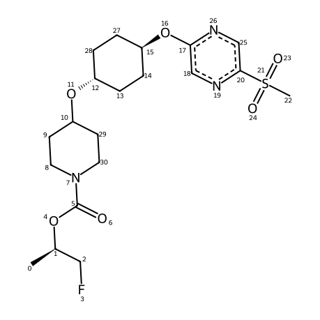 C[C@H](CF)OC(=O)N1CCC(O[C@H]2CC[C@H](Oc3cnc(S(C)(=O)=O)cn3)CC2)CC1